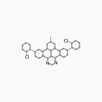 Cc1cc2c3cc(-c4ccccc4Cl)ccc3c3ncnc4c5ccc(-c6ccccc6Cl)cc5c(c1)c2c34